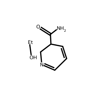 CCO.NC(=O)C1C=CC=NC1